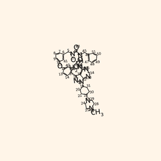 CC(=O)ON(Cc1cccc(Oc2ccc(-c3nn(C4CCC(N5CCN(C)CC5)CC4)c4ncnc(N)c34)cc2)c1)C(=O)NCc1ccccc1